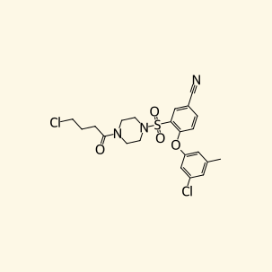 Cc1cc(Cl)cc(Oc2ccc(C#N)cc2S(=O)(=O)N2CCN(C(=O)CCCCl)CC2)c1